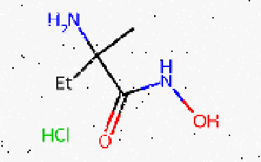 CCC(C)(N)C(=O)NO.Cl